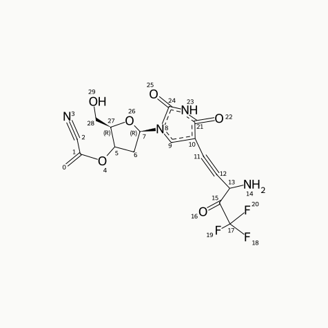 C=C(C#N)OC1C[C@H](n2cc(C#CC(N)C(=O)C(F)(F)F)c(=O)[nH]c2=O)O[C@@H]1CO